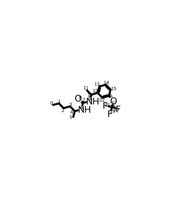 CCCCC(C)NC(=O)NC(C)c1cccc(OC(F)(F)F)c1